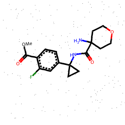 COC(=O)c1ccc(C2(NC(=O)C3(N)CCOCC3)CC2)cc1F